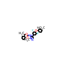 C[C@@H](OC(=O)Nc1c(-c2cc(F)c(Oc3ccccc3C(=O)O)c(F)c2)cnn1C)c1ccccc1